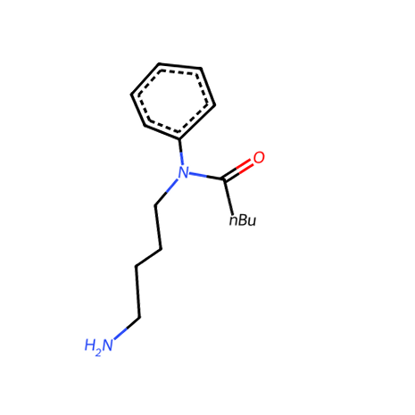 CCCCC(=O)N(CCCCN)c1ccccc1